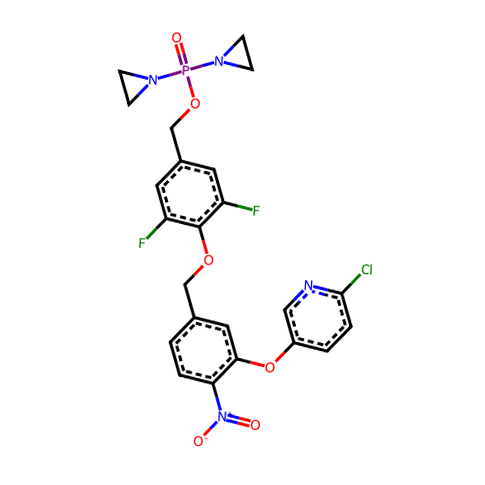 O=[N+]([O-])c1ccc(COc2c(F)cc(COP(=O)(N3CC3)N3CC3)cc2F)cc1Oc1ccc(Cl)nc1